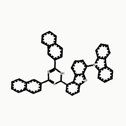 c1ccc2cc(C3=NC(c4cccc5oc6c(-n7c8ccccc8c8ccccc87)cccc6c45)NC(c4ccc5ccccc5c4)=N3)ccc2c1